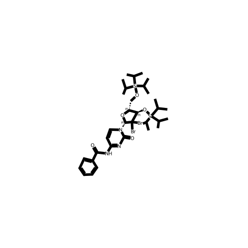 CC(C)[Si](OC[C@H]1O[C@@H](n2ccc(NC(=O)c3ccccc3)nc2=O)C(Br)(Br)[C@@H]1O[Si](C(C)C)(C(C)C)C(C)C)(C(C)C)C(C)C